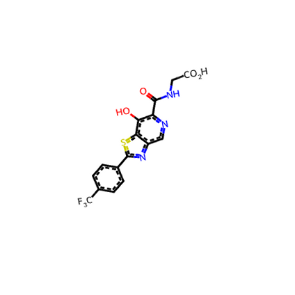 O=C(O)CNC(=O)c1ncc2nc(-c3ccc(C(F)(F)F)cc3)sc2c1O